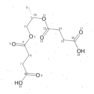 C[C@@H](COC(=O)CCC(=O)O)OC(=O)CCC(=O)O